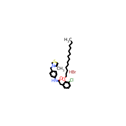 Br.CCCCCCCCCCCCCCOc1c(Cl)cccc1CC(=O)Nc1ccc(CN2CSC=C2C)cc1